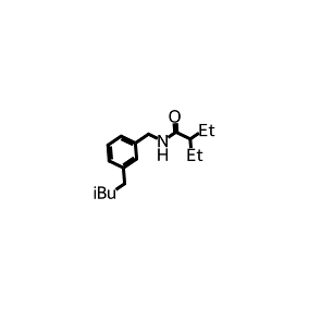 CCC(C)Cc1cccc(CNC(=O)C(CC)CC)c1